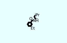 CCc1cccc(C(=O)N[C@@H](C)CC(C)C)c1